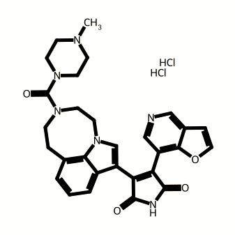 CN1CCN(C(=O)N2CCc3cccc4c(C5=C(c6cncc7ccoc67)C(=O)NC5=O)cn(c34)CC2)CC1.Cl.Cl